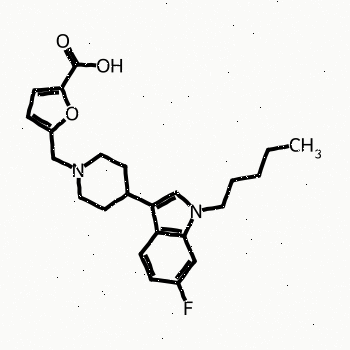 CCCCCn1cc(C2CCN(Cc3ccc(C(=O)O)o3)CC2)c2ccc(F)cc21